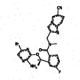 C[C@@H](Oc1nc(Br)cnc1N)c1cc(F)ccc1C(=O)N(C)Cc1cn2cc(C#N)ccc2n1